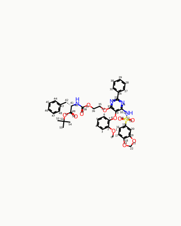 COc1ccccc1Oc1c(NS(=O)(=O)c2ccc3c(c2)OCO3)nc(-c2ccccc2)nc1OCCOC(=O)N[C@@H](Cc1ccccc1)C(=O)OC(C)(C)C